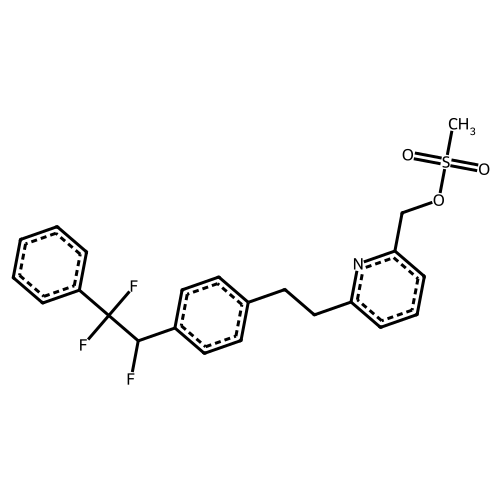 CS(=O)(=O)OCc1cccc(CCc2ccc(C(F)C(F)(F)c3ccccc3)cc2)n1